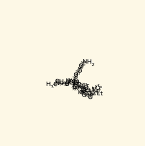 CCc1c2c(nc3ccccc13)C1=CC3C(COC(=O)[C@@]3(CC)OC(=O)[C@@H](NC(=O)[C@@H]3CCCN3C(=O)[C@H](CC(=O)OCCCCN(C)C)NC(=O)CCOCCOCCOCCN)C(C)C)C(=O)N1C2